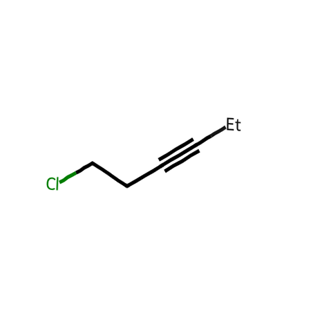 [CH2]CC#CCCCl